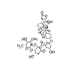 CC(=O)O[C@H]1C[C@H](O[C@H]2[C@@H](O)C[C@H](O[C@H]3[C@@H](O)C[C@H](O[C@H]4CC[C@@]5(C)[C@H](CC[C@@H]6[C@@H]5C[C@@H](O)[C@]5(C)[C@@H](C7=CC(=O)OC7)CC[C@]65O)C4)O[C@@H]3C)O[C@@H]2C)O[C@H](C)[C@H]1O